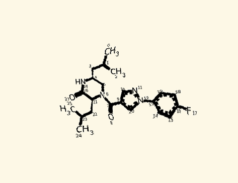 CC(C)C[C@H]1CN(C(=O)c2cnn(-c3ccc(F)cc3)c2)[C@@H](CC(C)C)C(=O)N1